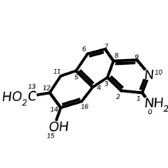 Nc1cc2c3c(ccc2cn1)CC(C(=O)O)C(O)=C3